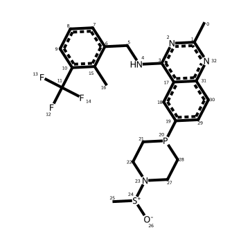 Cc1nc(NCc2cccc(C(F)(F)F)c2C)c2cc(P3CCN([S+](C)[O-])CC3)ccc2n1